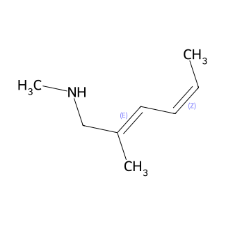 C/C=C\C=C(/C)CNC